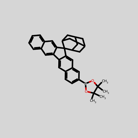 CC1(C)OB(c2ccc3cc4c(cc3c2)C2(c3cc5ccccc5cc3-4)C3CC4CC(C3)CC2C4)OC1(C)C